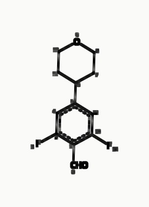 O=Cc1c(F)cc(C2CCOCC2)cc1F